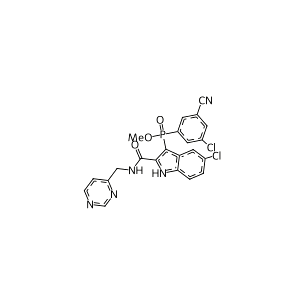 COP(=O)(c1cc(Cl)cc(C#N)c1)c1c(C(=O)NCc2ccncn2)[nH]c2ccc(Cl)cc12